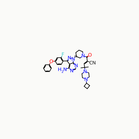 CC(C)(C=C(C#N)C(=O)N1CCC[C@@H](n2nc(-c3ccc(Oc4ccccc4)cc3F)c3c(N)ncnc32)C1)N1CCN(C2CCC2)CC1